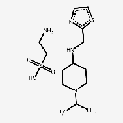 CC(C)N1CCC(NCc2nccs2)CC1.NCCS(=O)(=O)O